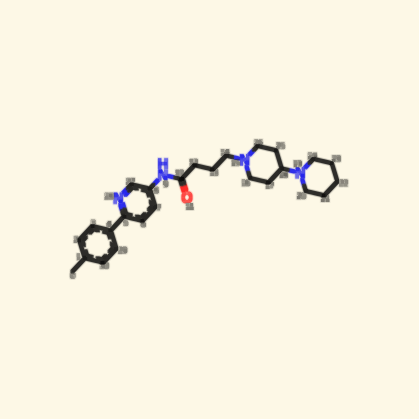 Cc1ccc(-c2ccc(NC(=O)CCCN3CCC(N4CCCCC4)CC3)cn2)cc1